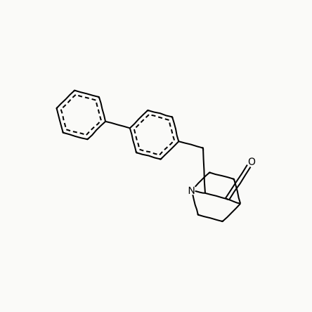 O=C1C2CCN(CC2)C1Cc1ccc(-c2ccccc2)cc1